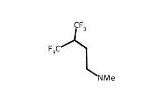 CNCCC(C(F)(F)F)C(F)(F)F